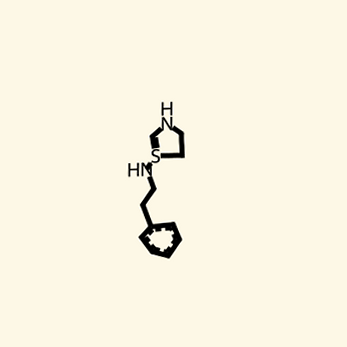 C1=S(NCCc2ccccc2)CCN1